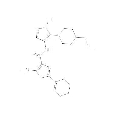 Cn1ncc(NC(=O)c2nc(C3=CCCCC3)sc2N)c1N1CCC(CN)CC1